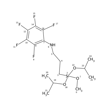 CO[Si](CCCNc1c(F)c(F)c(F)c(F)c1F)(OC(C)C)OC(C)C